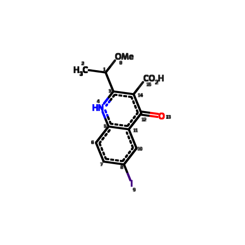 COC(C)c1[nH]c2ccc(I)cc2c(=O)c1C(=O)O